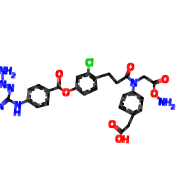 N=C(N=NN)Nc1ccc(C(=O)Oc2ccc(CCC(=O)N(CC(=O)ON)c3ccc(CC(=O)O)cc3)c(Cl)c2)cc1